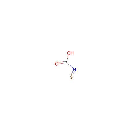 O=C(O)N=S